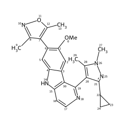 COc1cc2c(cc1-c1c(C)noc1C)[nH]c1ccnc(-c3c(C4CC4)nn(C)c3C)c12